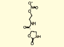 O=C1NC[C@@H](C(=O)NCCO[N+](=O)[O-])O1